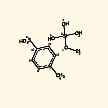 CCO[Si](O)(O)O.Cc1ccc(S(=O)(=O)O)cc1